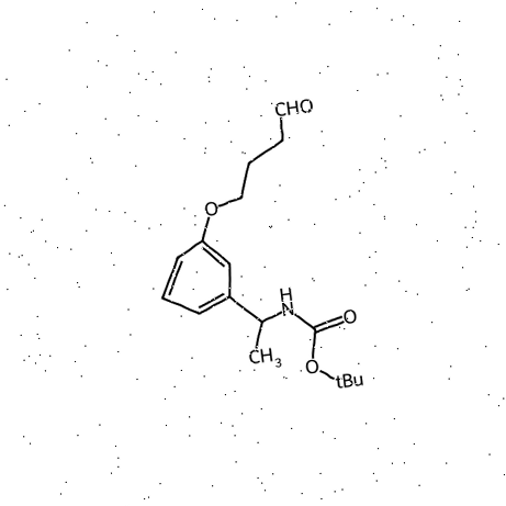 CC(NC(=O)OC(C)(C)C)c1cccc(OCCCC=O)c1